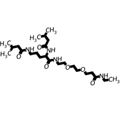 CCNC(=O)CCOCCOCCNC(=O)C(CCCNC(=O)CC(C)C)NC(=O)CC(C)C